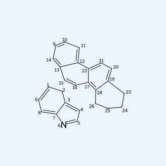 C1=CCC2=CC=NC2=C1.c1ccc2c(c1)ccc1c3c(ccc12)CCCC3